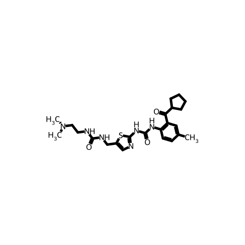 Cc1ccc(NC(=O)Nc2ncc(CNC(=O)NCCN(C)C)s2)c(C(=O)C2CCCC2)c1